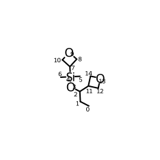 CCC(O[Si](C)(C)C1COC1)C1COC1